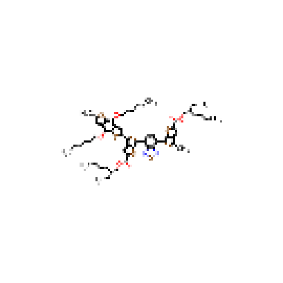 CCCCCCOc1c2cc(-c3sc(-c4ccc(-c5sc(C)c6cc(C(=O)OCC(CC)CCCC)sc56)c5nsnc45)c4sc(C(=O)OCC(CC)CCCC)cc34)sc2c(OCCCCCC)c2cc(C)sc12